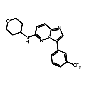 FC(F)(F)c1cccc(-c2cnc3ccc(NC4CCOCC4)nn23)c1